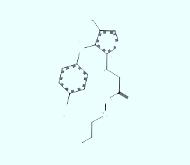 CCCNOC(=O)CCc1scc(Cl)c1Oc1ccc(C)cc1